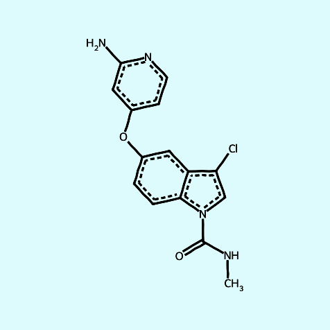 CNC(=O)n1cc(Cl)c2cc(Oc3ccnc(N)c3)ccc21